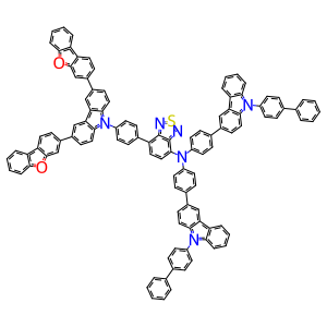 c1ccc(-c2ccc(-n3c4ccccc4c4cc(-c5ccc(N(c6ccc(-c7ccc8c(c7)c7ccccc7n8-c7ccc(-c8ccccc8)cc7)cc6)c6ccc(-c7ccc(-n8c9ccc(-c%10ccc%11c(c%10)oc%10ccccc%10%11)cc9c9cc(-c%10ccc%11c(c%10)oc%10ccccc%10%11)ccc98)cc7)c7nsnc67)cc5)ccc43)cc2)cc1